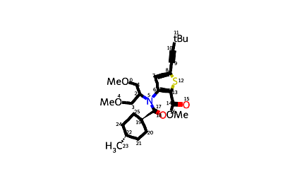 COCC(COC)N(c1cc(C#CC(C)(C)C)sc1C(=O)OC)C(=O)[C@H]1CC[C@H](C)CC1